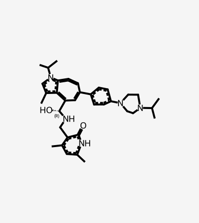 Cc1cc(C)c(CN[C@H](O)C2=c3c(C)cn(C(C)C)c3=C=CC(c3ccc(N4CCN(C(C)C)CC4)cc3)=C2)c(=O)[nH]1